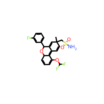 CC1(CS(N)(=O)=O)C=CC2=C3C(OC(F)F)=CC=CC3OC(c3cccc(F)c3)C2=C1